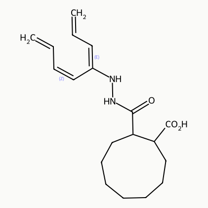 C=C/C=C\C(=C/C=C)NNC(=O)C1CCCCCCCC1C(=O)O